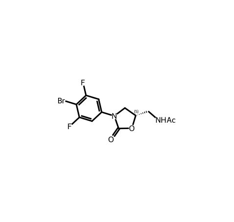 CC(=O)NC[C@H]1CN(c2cc(F)c(Br)c(F)c2)C(=O)O1